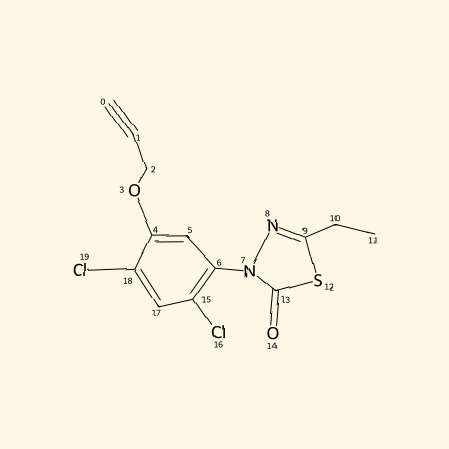 C#CCOc1cc(-n2nc(CC)sc2=O)c(Cl)cc1Cl